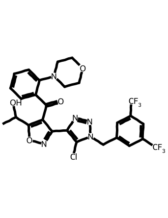 CC(O)c1onc(-c2nnn(Cc3cc(C(F)(F)F)cc(C(F)(F)F)c3)c2Cl)c1C(=O)c1ccccc1N1CCOCC1